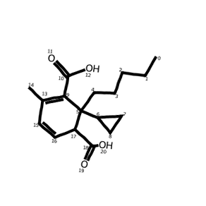 CCCCCC1(C2CC2)C(C(=O)O)=C(C)C=CC1C(=O)O